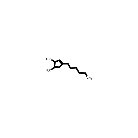 CCCCCCC1=CC(C)C(C)=C1